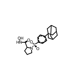 O=C(NO)C1CCCN1S(=O)(=O)c1ccc(C23CC4CC(CC(C4)C2)C3)cc1